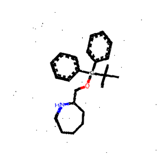 CC(C)(C)[Si](OCC1CCCCCN1)(c1ccccc1)c1ccccc1